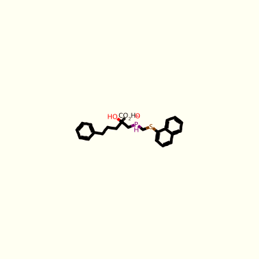 O=C(O)C(O)(CCCc1ccccc1)C[PH](=O)CSc1cccc2ccccc12